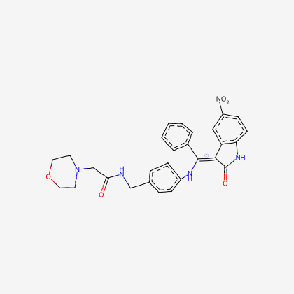 O=C(CN1CCOCC1)NCc1ccc(N/C(=C2\C(=O)Nc3ccc([N+](=O)[O-])cc32)c2ccccc2)cc1